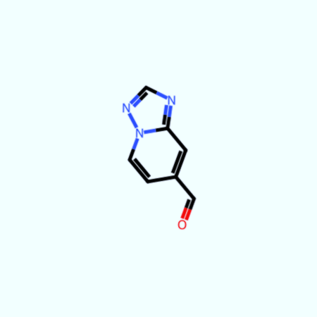 O=Cc1ccn2ncnc2c1